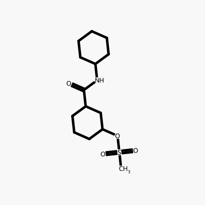 CS(=O)(=O)OC1CCCC(C(=O)NC2CCCCC2)C1